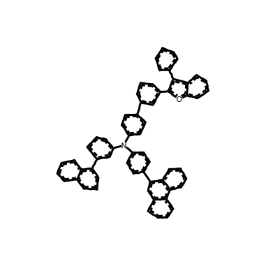 c1ccc(-c2c(-c3cccc(-c4ccc(N(c5ccc(-c6cc7ccccc7c7ccccc67)cc5)c5cccc(-c6cccc7ccccc67)c5)cc4)c3)oc3ccccc23)cc1